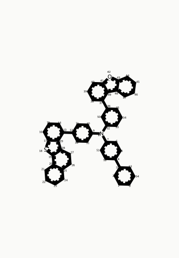 c1ccc(-c2ccc(N(c3ccc(-c4cccc5sc6c7ccccc7ccc6c45)cc3)c3cccc(-c4cccc5oc6ccccc6c45)c3)cc2)cc1